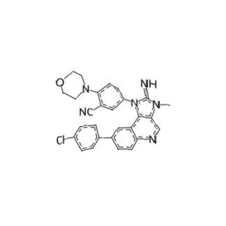 Cn1c(=N)n(-c2ccc(N3CCOCC3)c(C#N)c2)c2c3cc(-c4ccc(Cl)cc4)ccc3ncc21